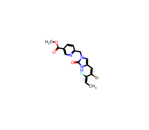 C/C=C(F)\C(Br)=C/c1cn(Cc2ccc(C(=O)OC)cn2)c(=O)[nH]1